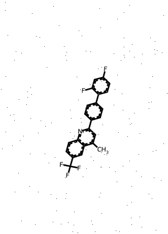 Cc1cc(-c2ccc(-c3ccc(F)cc3F)cc2)nc2ccc(C(F)(F)F)cc12